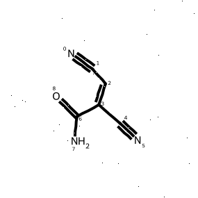 N#CC=C(C#N)C(N)=O